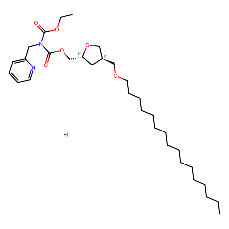 CCCCCCCCCCCCCCCCOC[C@@H]1CO[C@@H](COC(=O)N(Cc2ccccn2)C(=O)OCC)C1.I